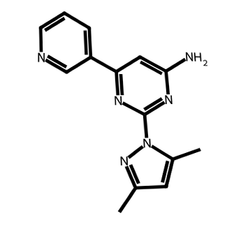 Cc1cc(C)n(-c2nc(N)cc(-c3cccnc3)n2)n1